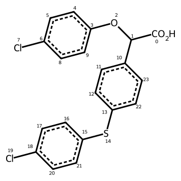 O=C(O)C(Oc1ccc(Cl)cc1)c1ccc(Sc2ccc(Cl)cc2)cc1